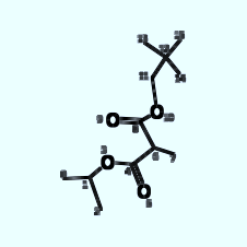 CC(C)OC(=O)C(C)C(=O)OCC(C)(C)C